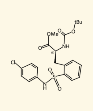 COC(=O)[C@H](Cc1ccccc1S(=O)(=O)Nc1ccc(Cl)cc1)NC(=O)OC(C)(C)C